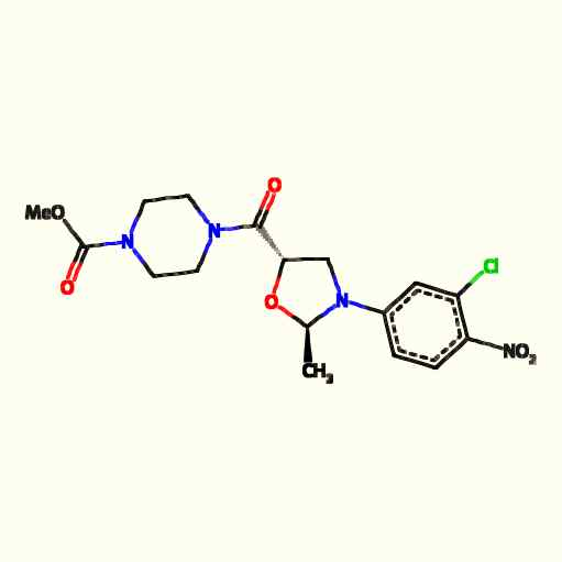 COC(=O)N1CCN(C(=O)[C@@H]2CN(c3ccc([N+](=O)[O-])c(Cl)c3)[C@@H](C)O2)CC1